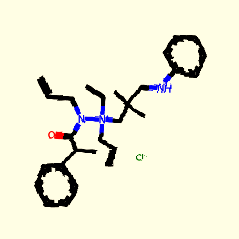 C=CCN(C(=O)C(C)c1ccccc1)[N+](CC)(CC=C)CC(C)(C)CNc1ccccc1.[Cl-]